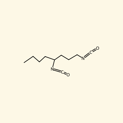 CCCCC(CCCN=C=O)N=C=O